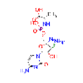 C[C@H](NP(=O)(O)OC[C@@]1(N=[N+]=[N-])O[C@@H](n2ccc(N)nc2=O)[C@H](O)[C@@H]1F)C(=O)O